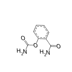 NC(=O)Oc1ccccc1C(N)=O